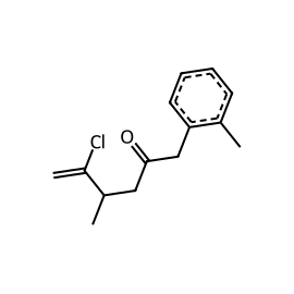 C=C(Cl)C(C)CC(=O)Cc1ccccc1C